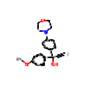 C#CC(O)(c1ccc(OC(C)C)cc1)c1ccc(N2CCOCC2)cc1